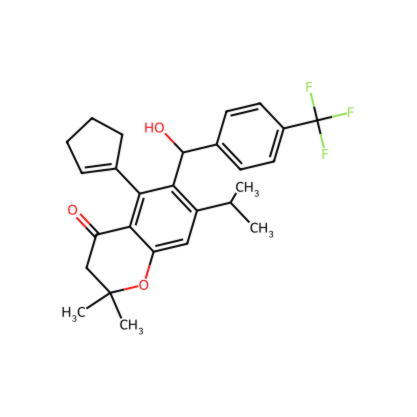 CC(C)c1cc2c(c(C3=CCCC3)c1C(O)c1ccc(C(F)(F)F)cc1)C(=O)CC(C)(C)O2